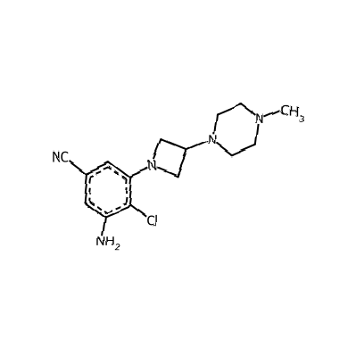 CN1CCN(C2CN(c3cc(C#N)cc(N)c3Cl)C2)CC1